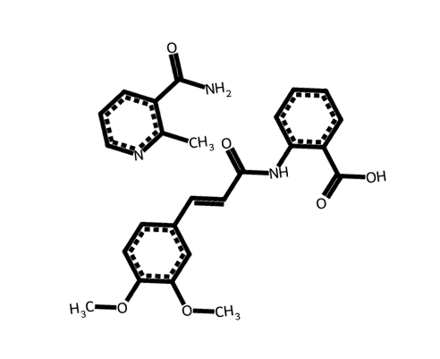 COc1ccc(/C=C/C(=O)Nc2ccccc2C(=O)O)cc1OC.Cc1ncccc1C(N)=O